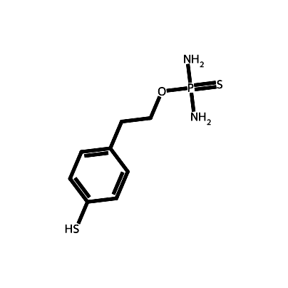 NP(N)(=S)OCCc1ccc(S)cc1